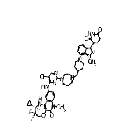 Cn1nc(C2CCC(=O)NC2=O)c2cccc(N3CCC(CN4CCCN(c5ncc(Cl)c(Nc6ccc7c(c6)c6c(c(=O)n7C)OCC(F)(F)[C@H](C7CC7)N6)n5)CC4)CC3)c21